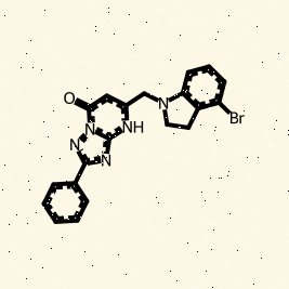 O=c1cc(CN2CCc3c(Br)cccc32)[nH]c2nc(-c3ccccc3)nn12